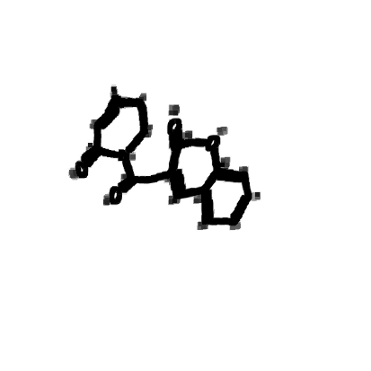 O=C1C=CCCN1C(=O)c1cc2ccccc2oc1=O